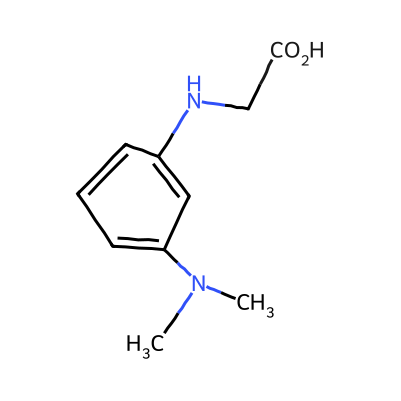 CN(C)c1cccc(NCC(=O)O)c1